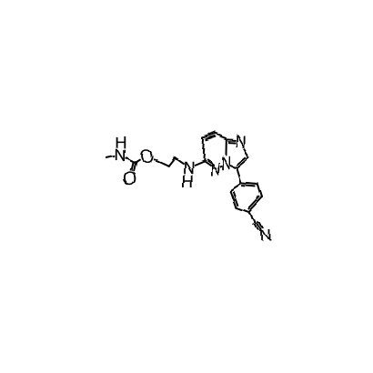 CNC(=O)OCCNc1ccc2ncc(-c3ccc(C#N)cc3)n2n1